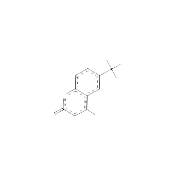 O=c1cc(Cl)c2cc(C(F)(F)F)ccc2o1